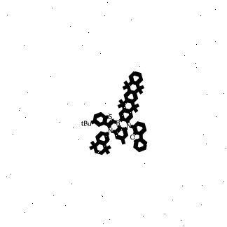 Cc1cc2c3c(c1)N(c1cccc4c1oc1ccccc14)c1cc4c(cc1B3c1sc3ccc(C(C)(C)C)cc3c1N2c1ccc2c(c1)C(C)(C)CCC2(C)C)C(C)(C)c1cc2c(cc1C4(C)C)C(C)(C)c1ccccc1C2(C)C